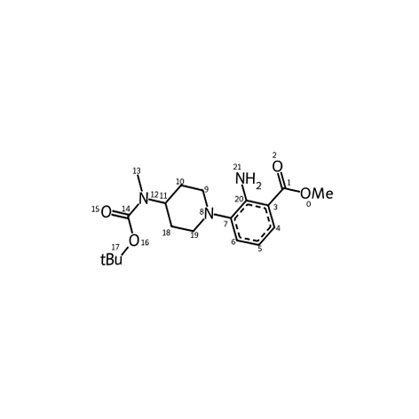 COC(=O)c1cccc(N2CCC(N(C)C(=O)OC(C)(C)C)CC2)c1N